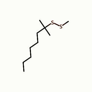 CCCCCCC(C)(C)SSC